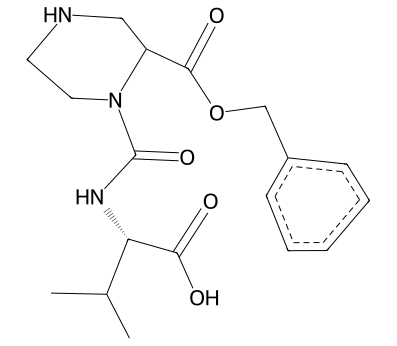 CC(C)[C@H](NC(=O)N1CCNCC1C(=O)OCc1ccccc1)C(=O)O